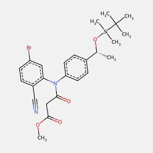 COC(=O)CC(=O)N(c1ccc([C@@H](C)O[Si](C)(C)C(C)(C)C)cc1)c1cc(Br)ccc1C#N